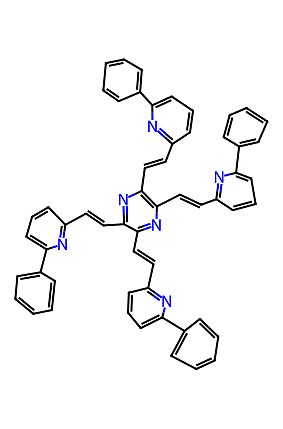 C(=Cc1nc(C=Cc2cccc(-c3ccccc3)n2)c(C=Cc2cccc(-c3ccccc3)n2)nc1C=Cc1cccc(-c2ccccc2)n1)c1cccc(-c2ccccc2)n1